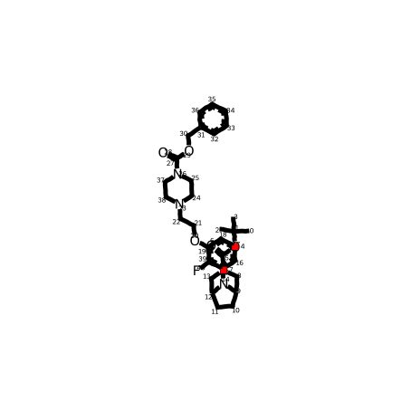 CC(C)(C)OC(=O)N1CC2CCC(C1)N2c1cccc(OCCN2CCN(C(=O)OCc3ccccc3)CC2)c1F